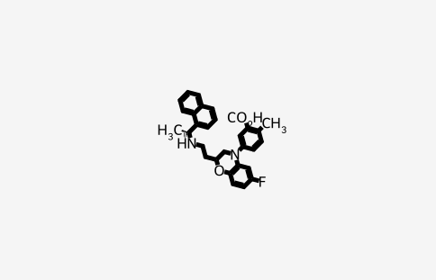 Cc1ccc(N2CC(CCN[C@H](C)c3cccc4ccccc34)Oc3ccc(F)cc32)cc1C(=O)O